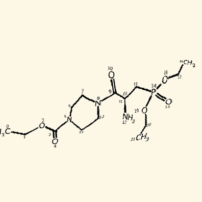 CCOC(=O)N1CCN(C(=O)[C@H](N)CP(=O)(OCC)OCC)CC1